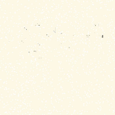 CCCCCOC(=O)N1CN(N[C@H](CCCNC(=N)N)C(=O)O)c2ncnc(NC3CC3)c21